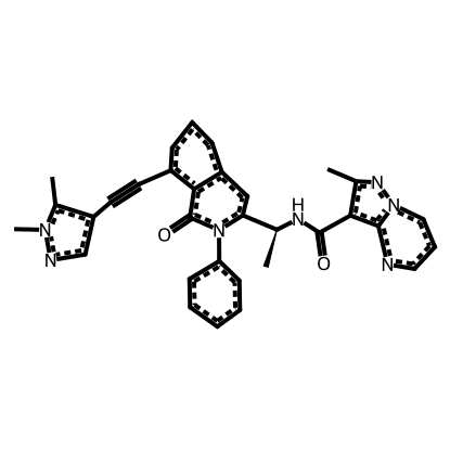 Cc1nn2cccnc2c1C(=O)N[C@@H](C)c1cc2cccc(C#Cc3cnn(C)c3C)c2c(=O)n1-c1ccccc1